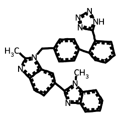 Cc1nc2ccc(-c3nc4ccccc4n3C)cc2n1Cc1ccc(-c2ccccc2-c2nnn[nH]2)cc1